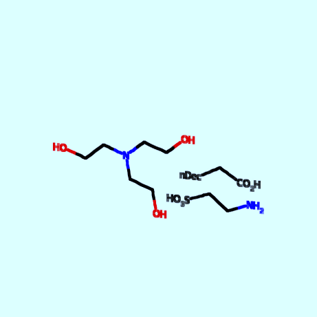 CCCCCCCCCCCC(=O)O.NCCS(=O)(=O)O.OCCN(CCO)CCO